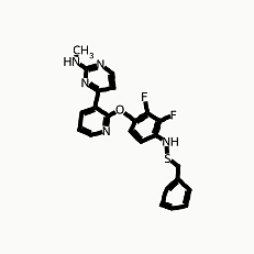 CNc1nccc(-c2cccnc2Oc2ccc(NSCc3ccccc3)c(F)c2F)n1